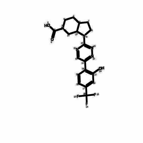 O=C(O)N1CCC2CCN(c3ncc(-c4ccc(C(F)(F)F)cc4O)nn3)C2C1